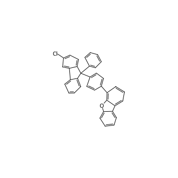 Clc1ccc2c(c1)-c1ccccc1C2(c1ccccc1)c1ccc(-c2cccc3c2oc2ccccc23)cc1